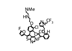 CNCCNCCOc1ccc(-c2c(-c3ccc(F)o3)sc3ncnc(O[C@@H](C(=O)O)[C@@H](F)c4ccccc4OCc4ccnn4CC(F)(F)F)c23)c(C)c1Cl